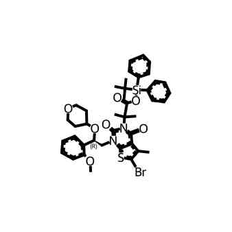 COc1ccccc1[C@H](Cn1c(=O)n(C(C)(C)C(=O)O[Si](c2ccccc2)(c2ccccc2)C(C)(C)C)c(=O)c2c(C)c(Br)sc21)OC1CCOCC1